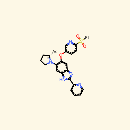 CCS(=O)(=O)c1ccc(Oc2cc3nc(-c4ccccn4)[nH]c3cc2N2CCC[C@@H]2C(C)=O)cn1